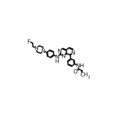 C=CC(=O)Nc1cccc(-c2nccc3cnc(Nc4ccc(N5CCN(CCF)CC5)cc4)nc23)c1